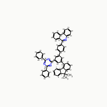 CC1(C)c2ccccc2-c2c(-c3cc(-c4ccc(-c5nc6ccccc6c6ccccc56)cc4)cc(-c4nc(-c5ccccc5)nc(-c5ccccc5)n4)c3)cccc21